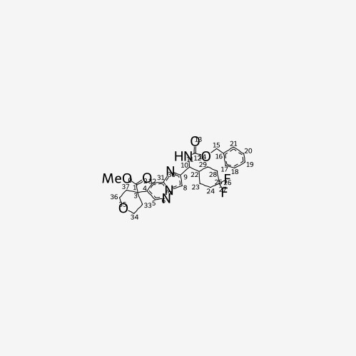 COC(=O)C1(c2cnn3cc(C(NC(=O)OCc4ccccc4)C4CCC(F)(F)CC4)nc3c2)CCOCC1